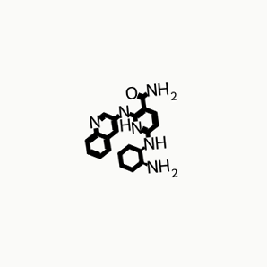 NC(=O)c1ccc(N[C@@H]2CCCC[C@@H]2N)nc1Nc1cnc2ccccc2c1